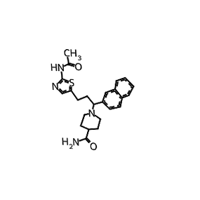 CC(=O)Nc1ncc(CCC(c2ccc3ccccc3c2)N2CCC(C(N)=O)CC2)s1